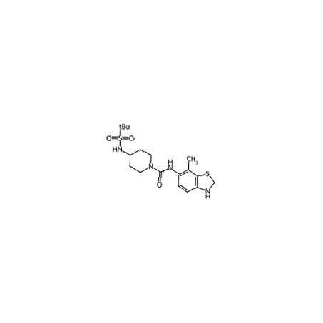 Cc1c(NC(=O)N2CCC(NS(=O)(=O)C(C)(C)C)CC2)ccc2c1SCN2